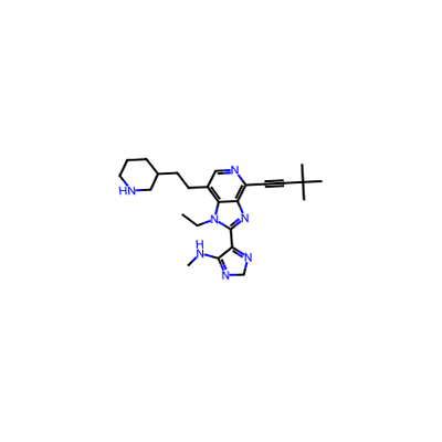 CCn1c(C2=NCN=C2NC)nc2c(C#CC(C)(C)C)ncc(CCC3CCCNC3)c21